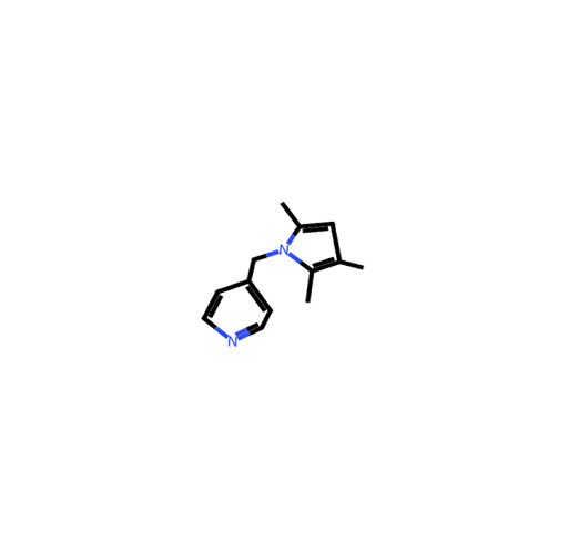 Cc1cc(C)n(Cc2ccncc2)c1C